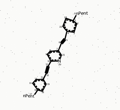 CCCCCc1ccc(C#Cc2ccc(C#Cc3ccc(CCCCC)cc3)nc2)cc1